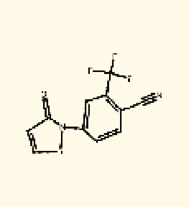 N#Cc1ccc(-n2sccc2=O)cc1C(F)(F)F